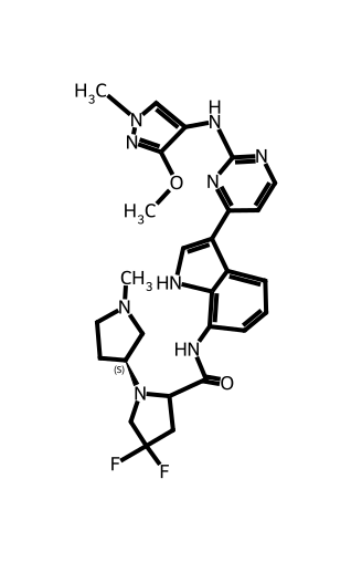 COc1nn(C)cc1Nc1nccc(-c2c[nH]c3c(NC(=O)C4CC(F)(F)CN4[C@H]4CCN(C)C4)cccc23)n1